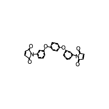 O=C1C=CC(=O)N1c1cccc(Oc2ccc(Oc3cccc(N4C(=O)C=CC4=O)c3)cc2)c1